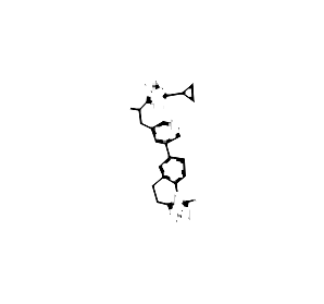 Cc1nnc2n1-c1ccc(-c3cncc(CC(C)c4nnc(C5CC5)o4)c3)cc1CC2